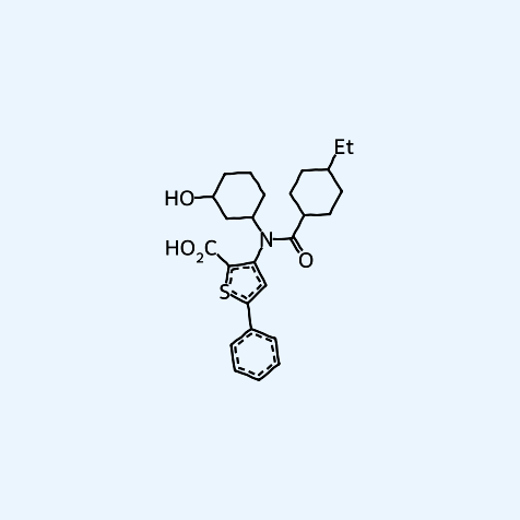 CCC1CCC(C(=O)N(c2cc(-c3ccccc3)sc2C(=O)O)C2CCCC(O)C2)CC1